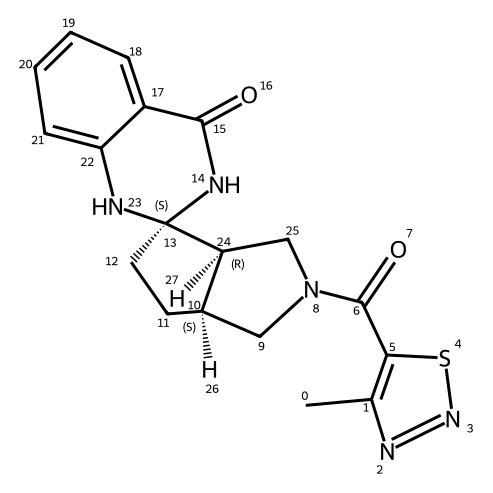 Cc1nnsc1C(=O)N1C[C@H]2CC[C@]3(NC(=O)c4ccccc4N3)[C@H]2C1